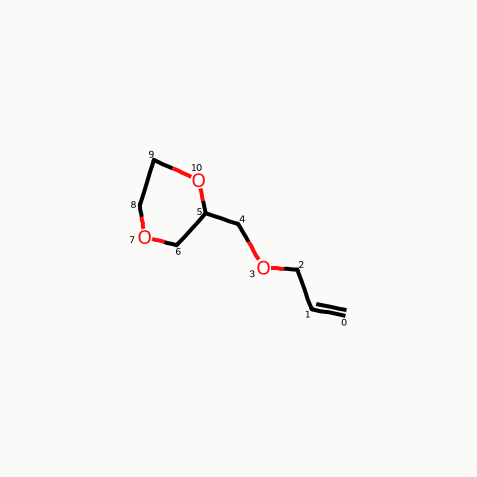 C=CCOCC1COCCO1